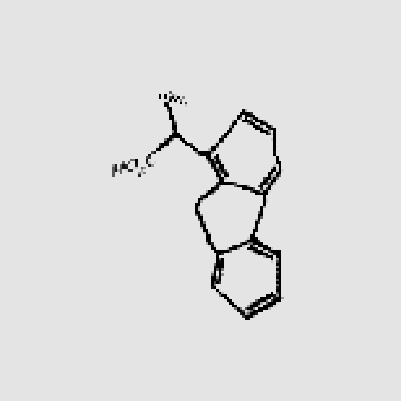 CCCCC(C(=O)O)c1cccc2c1Cc1ccccc1-2